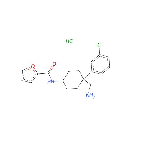 Cl.NCC1(c2cccc(Cl)c2)CCC(NC(=O)c2ccco2)CC1